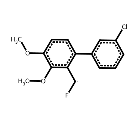 COc1ccc(-c2cccc(Cl)c2)c([CH]F)c1OC